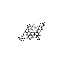 O=Cc1ccc(N(c2ccc(C=O)cc2)c2ccccc2CCc2ccccc2N(c2ccc(C=O)cc2)c2ccc(C=O)cc2)cc1